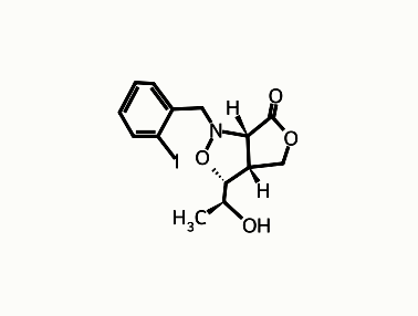 C[C@H](O)[C@@H]1ON(Cc2ccccc2I)[C@@H]2C(=O)OC[C@H]12